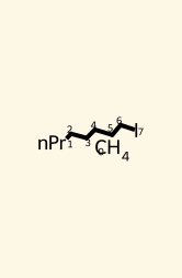 C.CCCCCCCCI